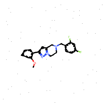 COc1ccccc1-c1cc2n(n1)CCN(Cc1ccc(F)cc1F)C2